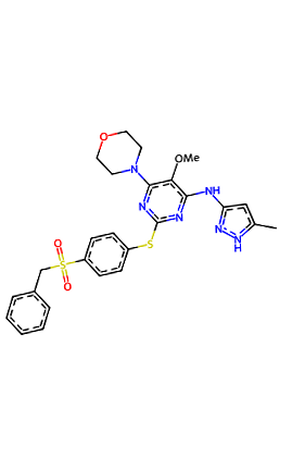 COc1c(Nc2cc(C)[nH]n2)nc(Sc2ccc(S(=O)(=O)Cc3ccccc3)cc2)nc1N1CCOCC1